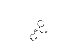 OC[C](Oc1ccccc1)C1CCCCC1